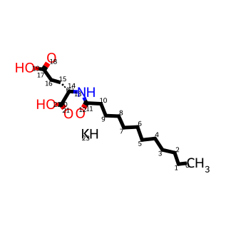 CCCCCCCCCCCC(=O)N[C@@H](CCC(=O)O)C(=O)O.[KH]